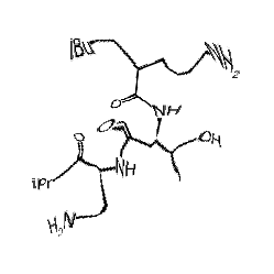 CCC(C)CC(CCN)C(=O)N[C@H](C(=O)N[C@@H](CN)C(=O)C(C)C)C(C)O